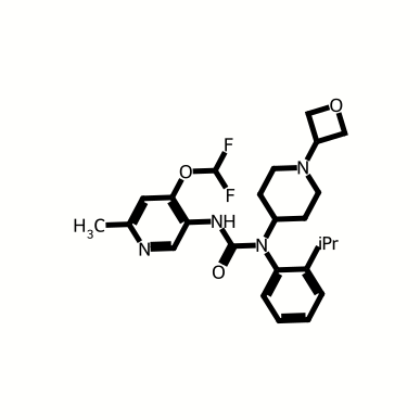 Cc1cc(OC(F)F)c(NC(=O)N(c2ccccc2C(C)C)C2CCN(C3COC3)CC2)cn1